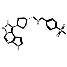 CS(=O)(=O)c1ccc(CNC[C@H]2CC[C@H](C3=C4c5cc[nH]c5N=CN4NN3)CC2)cc1